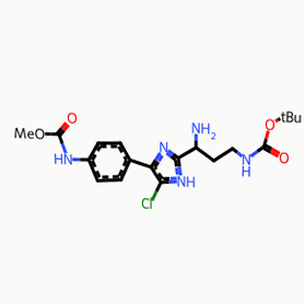 COC(=O)Nc1ccc(-c2nc(C(N)CCNC(=O)OC(C)(C)C)[nH]c2Cl)cc1